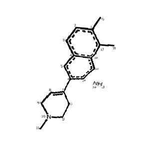 Cc1ccc2cc(C3=CCN(C)CC3)ccc2c1C.N